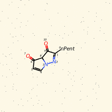 CCCCCC1=NN2C=CC(=O)C2C1=O